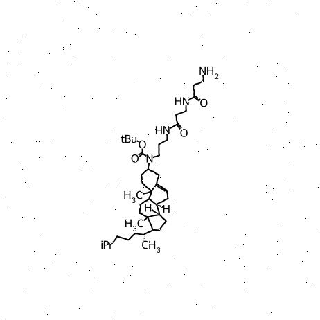 CC(C)CCC[C@@H](C)C1CC[C@H]2[C@H]3CC=C4C[C@H](N(CCCNC(=O)CCNC(=O)CCN)C(=O)OC(C)(C)C)CCC4(C)C3CCC12C